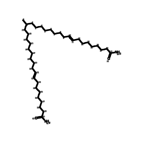 CC(CCCCCCCCC=CCCCCCCCC(N)=O)CCCCCCCCCC=CCCCCCCCC(N)=O